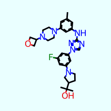 Cc1cc(Nc2ncn(-c3cc(F)cc(N4CCC(C(C)(C)O)C4)c3)n2)cc(N2CCN(C3COC3)CC2)c1